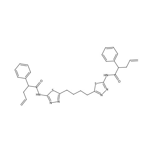 C=CCC(C(=O)Nc1nnc(CCCCc2nnc(NC(=O)C(CC=C)c3ccccc3)s2)s1)c1ccccc1